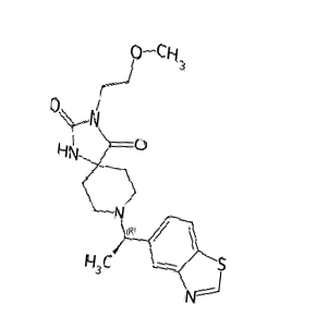 COCCN1C(=O)NC2(CCN([C@H](C)c3ccc4scnc4c3)CC2)C1=O